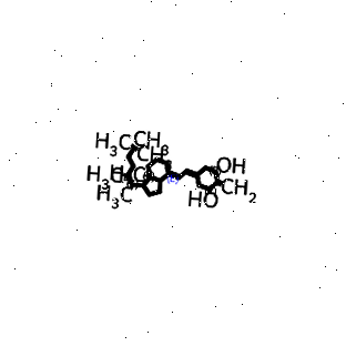 C=C1[C@H](O)CC(=C/C=C2\CCC[C@@]3(C)C2CCC3[C@@H](C)[C@H](C)CCC(C)(C)C)C[C@H]1O